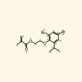 C=C(C)C(=O)OCCOc1c(Br)cc(Br)cc1C(C)C